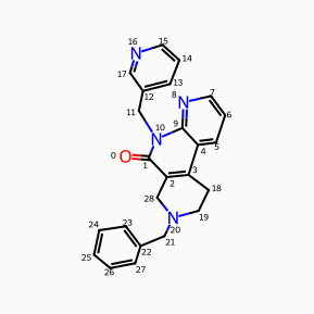 O=c1c2c(c3cccnc3n1Cc1cccnc1)CCN(Cc1ccccc1)C2